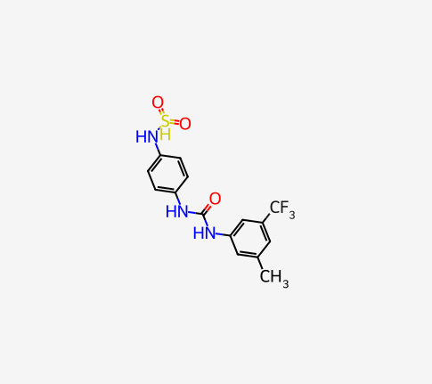 Cc1cc(NC(=O)Nc2ccc(N[SH](=O)=O)cc2)cc(C(F)(F)F)c1